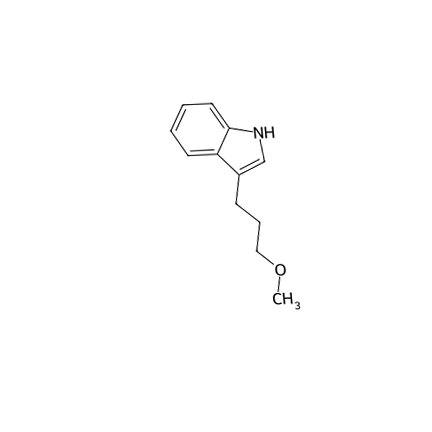 COCCCc1c[nH]c2ccccc12